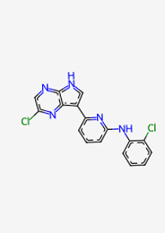 Clc1cnc2[nH]cc(-c3cccc(Nc4ccccc4Cl)n3)c2n1